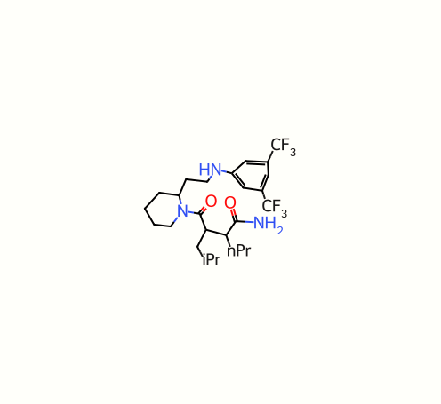 CCCC(C(N)=O)C(CC(C)C)C(=O)N1CCCCC1CCNc1cc(C(F)(F)F)cc(C(F)(F)F)c1